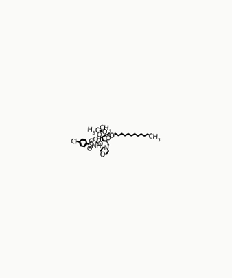 CCCCCCCCCCCCOC[C@@]12O[C@@H](CN3CCOCC3)[C@@H](OC(=O)NS(=O)(=O)c3ccc(Cl)cc3)[C@@H]1OC(C)(C)O2